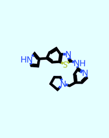 c1cc(CN2CCCC2)cc(Nc2nc3ccc(-c4cc[nH]c4)cc3s2)n1